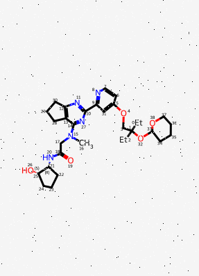 CCC(CC)(COc1ccnc(-c2nc3c(c(N(C)CC(=O)N[C@@H]4CCC[C@@H]4O)n2)CCC3)c1)OC1CCCCO1